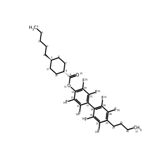 CCCCC[C@H]1CC[C@H](C(=O)Oc2c(F)c(F)c(-c3c(F)c(F)c(CCCC)c(F)c3F)c(F)c2F)CC1